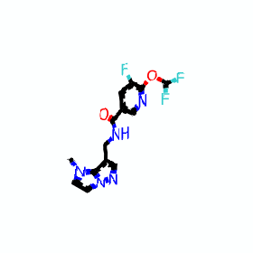 Cn1ccn2ncc(CNC(=O)c3cnc(OC(F)F)c(F)c3)c12